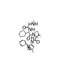 CN[C@@H](C)C(=O)NC(C(=O)N1CC[C@H](C)[C@H]1C(=O)Nc1cc(C)nn1-c1ccccc1)C1CCCCC1